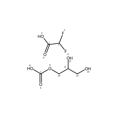 O=C(O)C(F)F.O=C(O)OCC(O)CO